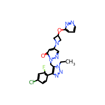 CCn1nnc(-c2ccc(Cl)cc2F)c1Cn1ncc(N2CC(Oc3cccnn3)C2)cc1=O